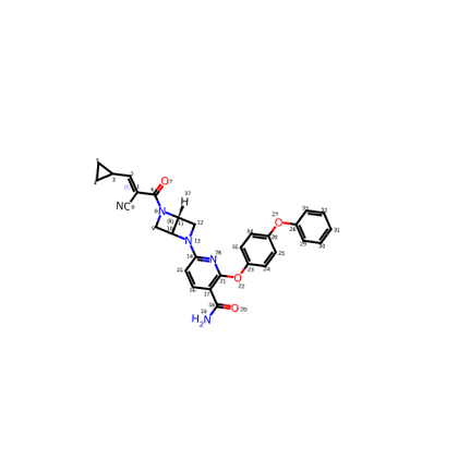 N#C/C(=C\C1CC1)C(=O)N1CC2[C@H]1CN2c1ccc(C(N)=O)c(Oc2ccc(Oc3ccccc3)cc2)n1